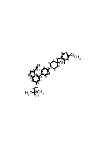 COc1ccc(CC2(O)CCN(c3ccc(-c4cc(OCC(C)(C)O)cc5ncc(C#N)n45)cn3)CC2)cn1